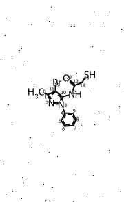 Cc1nn(-c2ccccc2)c(NC(=O)CS)c1Br